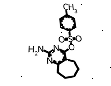 Cc1ccc(S(=O)(=O)Oc2nc(N)nc3c2CCCCC3)cc1